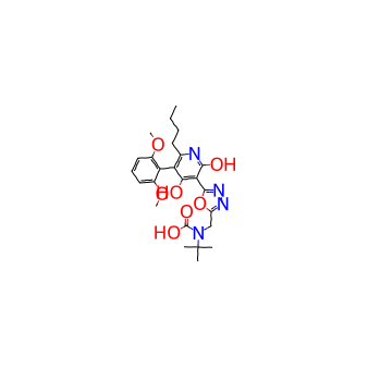 CCCCc1nc(O)c(-c2nnc(CN(C(=O)O)C(C)(C)C)o2)c(O)c1-c1c(OC)cccc1OC